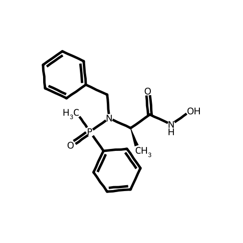 C[C@H](C(=O)NO)N(Cc1ccccc1)P(C)(=O)c1ccccc1